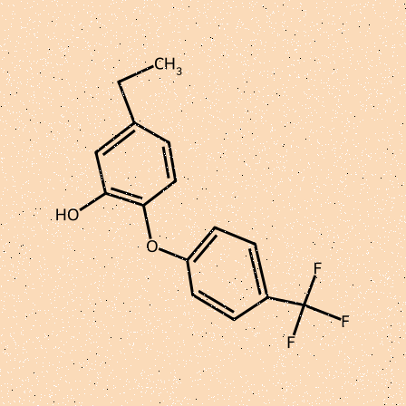 CCc1ccc(Oc2ccc(C(F)(F)F)cc2)c(O)c1